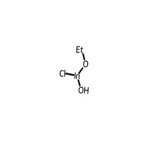 CC[O][In]([OH])[Cl]